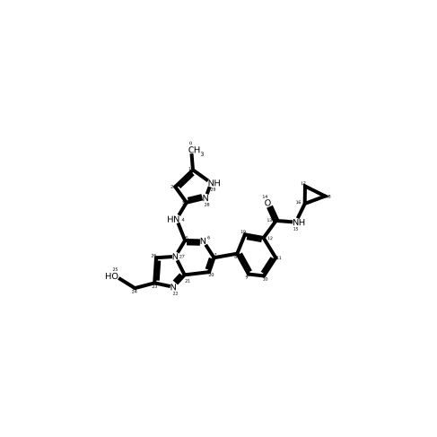 Cc1cc(Nc2nc(-c3cccc(C(=O)NC4CC4)c3)cc3nc(CO)cn23)n[nH]1